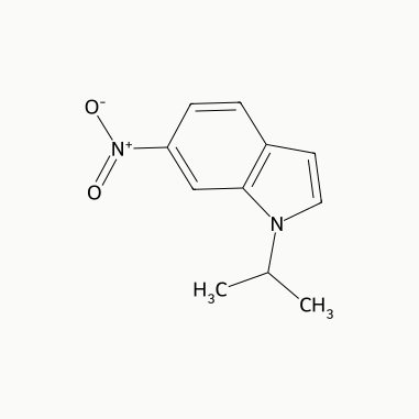 CC(C)n1ccc2ccc([N+](=O)[O-])cc21